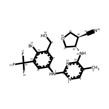 Cc1cnc(Nc2cc(CO)c(Br)c(C(F)(F)F)c2)nc1N[C@@H]1COC[C@H]1C#N